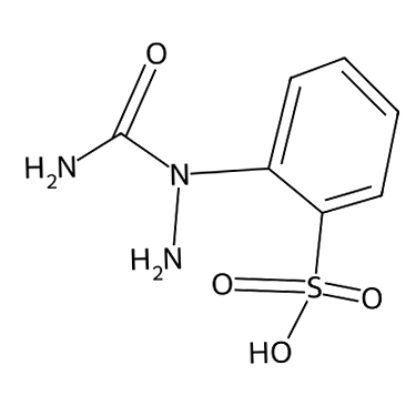 NC(=O)N(N)c1ccccc1S(=O)(=O)O